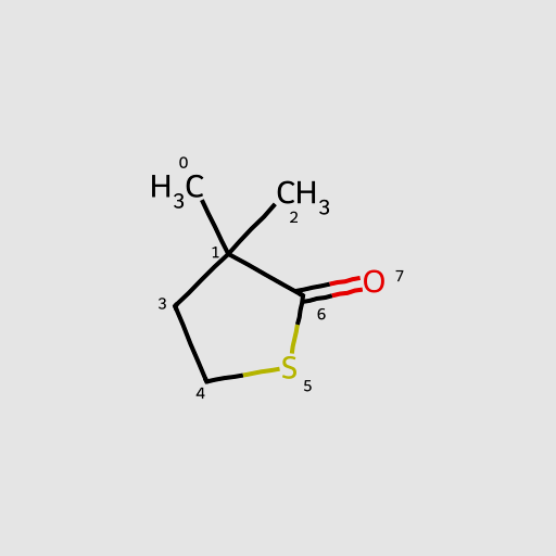 CC1(C)CCSC1=O